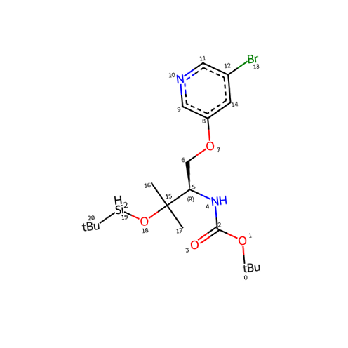 CC(C)(C)OC(=O)N[C@H](COc1cncc(Br)c1)C(C)(C)O[SiH2]C(C)(C)C